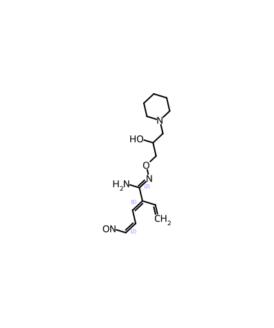 C=CC(=C\C=C/N=O)/C(N)=N/OCC(O)CN1CCCCC1